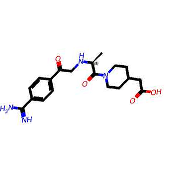 C[C@H](NCC(=O)c1ccc(C(=N)N)cc1)C(=O)N1CCC(CC(=O)O)CC1